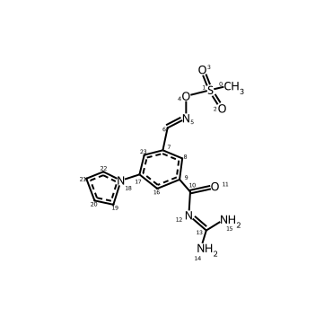 CS(=O)(=O)ON=Cc1cc(C(=O)N=C(N)N)cc(-n2cccc2)c1